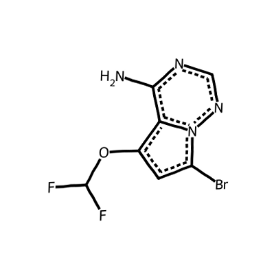 Nc1ncnn2c(Br)cc(OC(F)F)c12